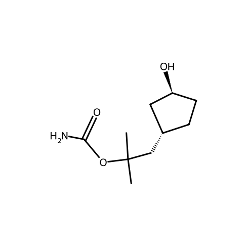 CC(C)(C[C@H]1CC[C@H](O)C1)OC(N)=O